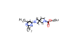 Cc1cc(N2CC3(CCN(C(=O)OC(C)(C)C)C3)C2)nc(C(F)(F)F)n1